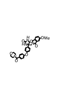 COc1ccc2c(c1)C(=O)N(C[C@@]1(c3ccc(Oc4ccc(C(=O)N5CCOCC5)cc4)cc3)NC(=O)NC1=O)C2